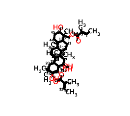 C/C=C(\C)C(=O)OC[C@]1(C)C2CC[C@]3(C)C(CC=C4C5CC(C)(C)C(O)=C(OC(=O)/C(C)=C/C)[C@]5(CO)[C@H](O)C[C@]43C)[C@@]2(C)CC[C@@H]1O